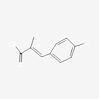 C/C(=C\c1ccc(Br)cc1)C(=O)O